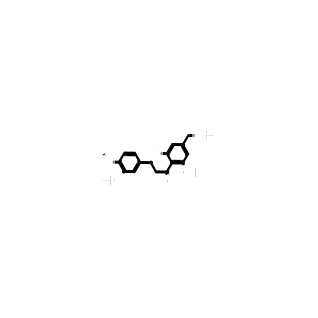 COc1ccc(C2CC(=O)c3c(O)cc(CO)cc3O2)cc1O